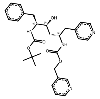 CC(C)(C)OC(=O)N[C@@H](Cc1ccccc1)[C@@H](O)C[C@H](Cc1ccncc1)NC(=O)OCc1cccnc1